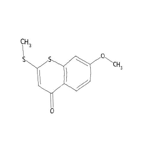 COc1ccc2c(=O)cc(SC)sc2c1